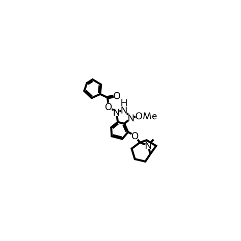 CON1NN(OC(=O)c2ccccc2)c2cccc(OC34CCCC(CC3)N4C)c21